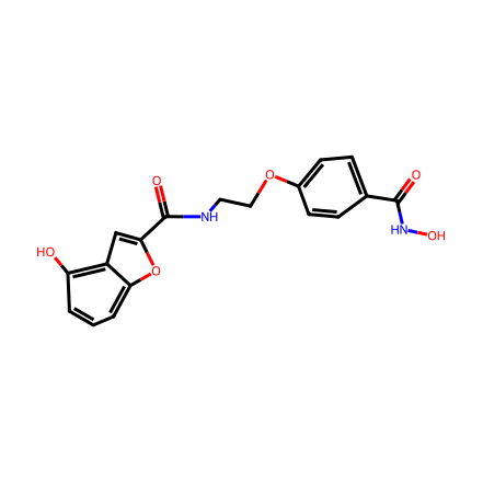 O=C(NO)c1ccc(OCCNC(=O)c2cc3c(O)cccc3o2)cc1